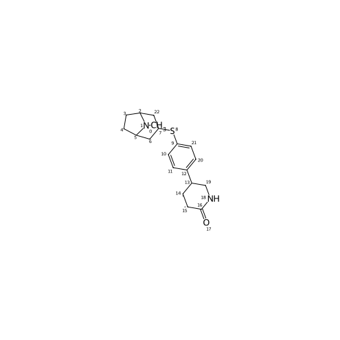 CN1C2CCC1CC(Sc1ccc(C3[CH][CH]C(=O)NC3)cc1)C2